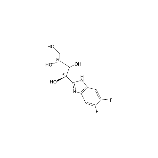 OC[C@@H](O)C(O)[C@H](O)c1nc2cc(F)c(F)cc2[nH]1